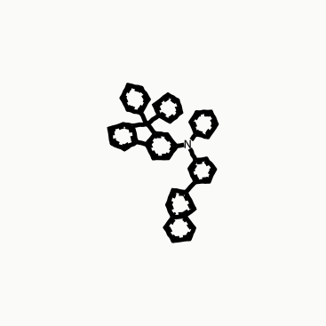 c1ccc(N(c2cccc(-c3ccc4ccccc4c3)c2)c2ccc3c(c2)C(c2ccccc2)(c2ccccc2)c2ccccc2-3)cc1